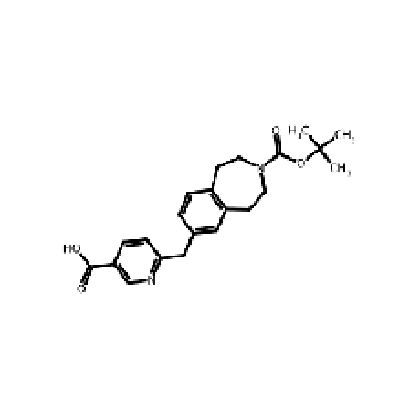 CC(C)(C)OC(=O)N1CCc2ccc(Cc3ccc(C(=O)O)cn3)cc2CC1